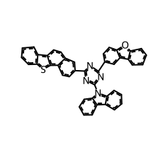 c1ccc2c(c1)oc1ccc(-c3nc(-c4ccc5c(ccc6c7ccccc7sc56)c4)nc(-n4c5ccccc5c5ccccc54)n3)cc12